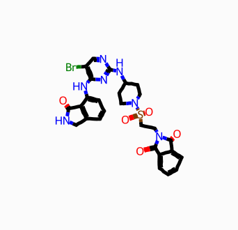 O=C1NCc2cccc(Nc3nc(NC4CCN(S(=O)(=O)CCN5C(=O)c6ccccc6C5=O)CC4)ncc3Br)c21